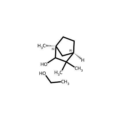 CC1(C)C(O)[C@@]2(C)CC[C@@H]1C2.CCO